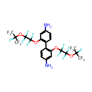 Nc1ccc(-c2ccc(N)cc2OC(F)(F)C(F)(F)OC(F)(C(F)(F)F)C(F)(F)F)c(OC(F)(F)C(F)(F)OC(F)(C(F)(F)F)C(F)(F)F)c1